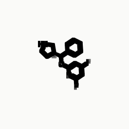 Fc1cc(F)nc(OC(c2ccccc2)[C@H]2CCNC2)c1